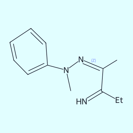 CCC(=N)/C(C)=N\N(C)c1ccccc1